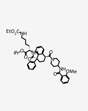 CCOC(=O)NCCCC[C@H](NC(=O)[C@@]1(c2ccccc2)CC[C@H](C(=O)N2CCC(NC(=O)c3ccccc3OC)CC2)c2ccccc21)C(=O)OC(C)C